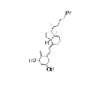 C=C1/C(=C\C=C2/CCC[C@]3(C)[C@@H]([C@H](C)CCCC(C)C)CC[C@@H]23)CC(O)CC1O